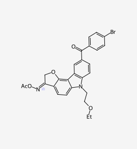 CCOCCn1c2ccc(C(=O)c3ccc(Br)cc3)cc2c2c3c(ccc21)/C(=N/OC(C)=O)CO3